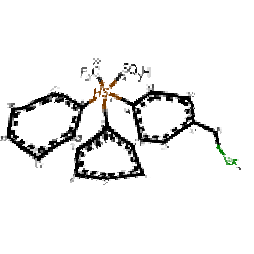 O=S(=O)(O)[SH](c1ccccc1)(c1ccccc1)(c1ccc(CBr)cc1)C(F)(F)F